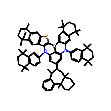 CC1c2ccccc2C2(C)CCCCC2(C)CC1c1cc2c3c(c1)N(c1ccc4c(c1)C(C)(C)CCC4(C)C)c1c(sc4cc5c(cc14)C1(C)CCC5(C)CC1)B3c1cc3c(cc1N2c1ccc2c(c1)C(C)(C)CCC2(C)C)C(C)(C)CCC3(C)C